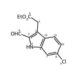 CCOC(=O)Cc1c(C=O)[nH]c2cc(Cl)ccc12